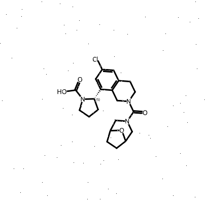 O=C(N1CCc2cc(Cl)cc([C@@H]3CCCN3C(=O)O)c2C1)N1CC2CCC(C1)O2